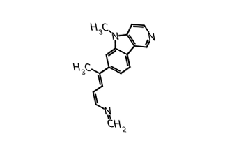 C=N/C=C\C=C(/C)c1ccc2c3cnccc3n(C)c2c1